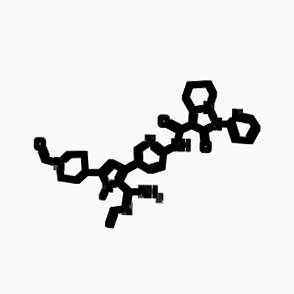 C=C/N=C(/N)c1c(-c2ccc(NC(=O)c3c4n(n(-c5ccccn5)c3=O)CCCC4)nc2)cc(C2CCN(C=O)CC2)n1C